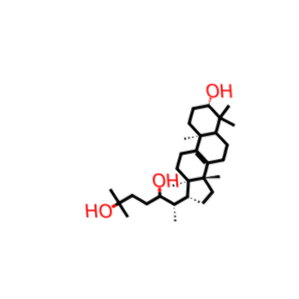 C[C@H](C(O)CCC(C)(C)O)[C@H]1CC[C@@]2(C)C3=C(CC[C@]12C)[C@@]1(C)CC[C@H](O)C(C)(C)C1CC3